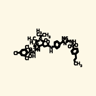 CCCc1ccc(S(=O)(=O)Nc2nc(-c3ccc(NC(=O)CC(C(=O)N(C(C)C)C(C)C)c4nsc(NS(=O)(=O)c5c(Cl)cc(Cl)cc5Cl)n4)cc3)ns2)cc1